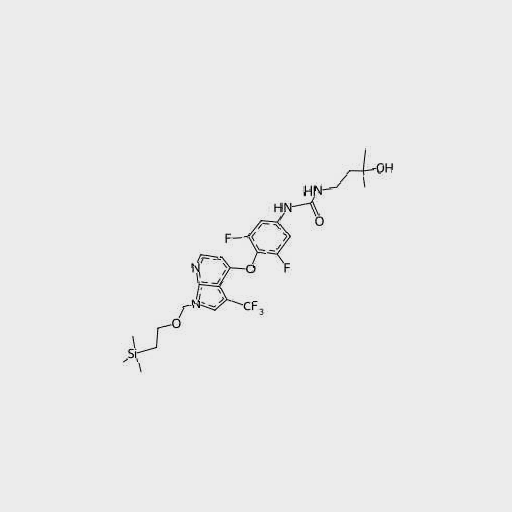 CC(C)(O)CCNC(=O)Nc1cc(F)c(Oc2ccnc3c2c(C(F)(F)F)cn3COCC[Si](C)(C)C)c(F)c1